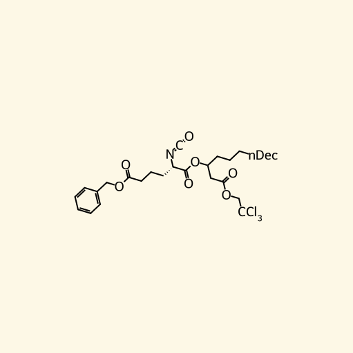 CCCCCCCCCCCCCC(CC(=O)OCC(Cl)(Cl)Cl)OC(=O)[C@H](CCCC(=O)OCc1ccccc1)N=C=O